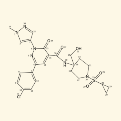 Cn1cc(-n2nc(-c3ccc(Cl)cc3)cc(C(=O)NC3(CO)CCN(S(=O)(=O)C4CC4)CC3)c2=O)cn1